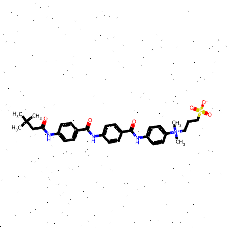 CC(C)(C)CC(=O)Nc1ccc(C(=O)Nc2ccc(C(=O)Nc3ccc([N+](C)(C)CCCS(=O)(=O)[O-])cc3)cc2)cc1